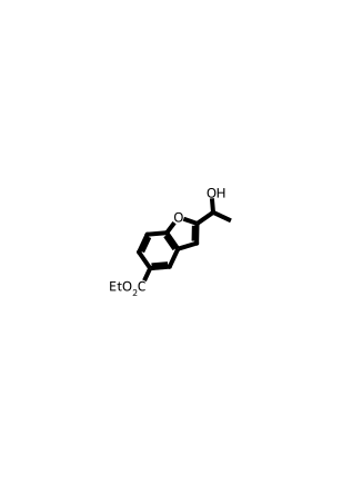 CCOC(=O)c1ccc2oc(C(C)O)cc2c1